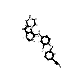 N#Cc1cccc(Oc2ccc(Nc3ncnc4cc5n(c34)CCOC5)cc2Cl)c1